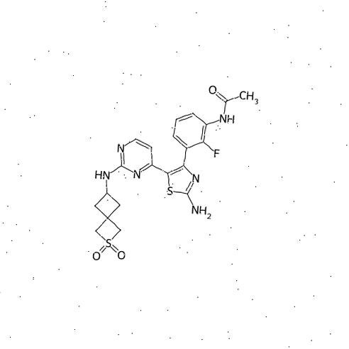 CC(=O)Nc1cccc(-c2nc(N)sc2-c2ccnc(NC3CC4(C3)CS(=O)(=O)C4)n2)c1F